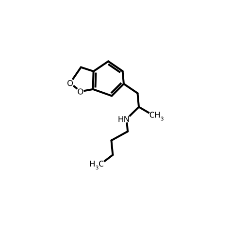 CCCCNC(C)Cc1ccc2c(c1)OOC2